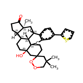 CC1(C)COOC2(CC[C@@]34Cc5cc(-c6cccs6)ccc5[C@H]5C[C@]6(C)C(=O)CC[C@H]6[C@H](CC[C@@]3(O)C2)[C@H]54)C1